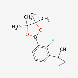 CC1(C)OB(c2cccc(C3(C#N)CC3)c2F)OC1(C)C